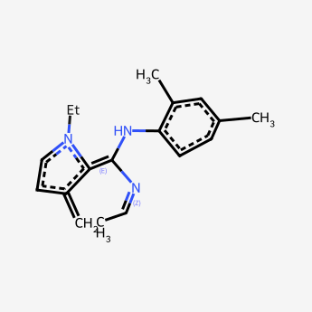 C=c1ccn(CC)/c1=C(/N=C\C)Nc1ccc(C)cc1C